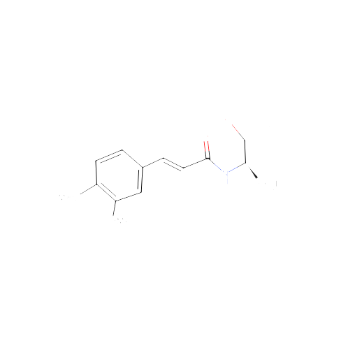 COc1ccc(C=CC(=O)N[C@H](C(=O)O)[C@@H](C)O)cc1OC